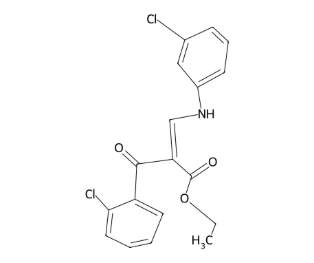 CCOC(=O)C(=CNc1cccc(Cl)c1)C(=O)c1ccccc1Cl